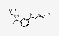 N#CN=NCNc1cccc(C(=O)N[CH]C=O)c1